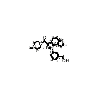 CN1CCN(C(=O)c2nn(-c3cccc(CO)c3)c3c2CCc2sccc2-3)CC1